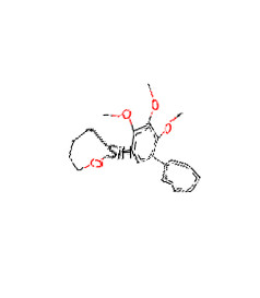 COc1c(-c2ccccc2)cc([SiH]2CCCCO2)c(OC)c1OC